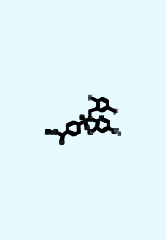 COC(=O)c1ccc(S(=O)(=O)N(Cc2cc(F)ccc2F)c2ncc(C(F)(F)F)cc2Cl)cc1